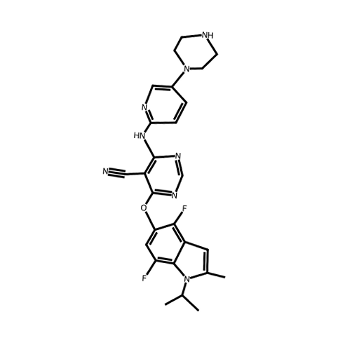 Cc1cc2c(F)c(Oc3ncnc(Nc4ccc(N5CCNCC5)cn4)c3C#N)cc(F)c2n1C(C)C